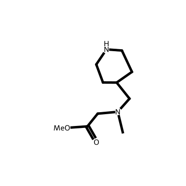 COC(=O)CN(C)CC1CCNCC1